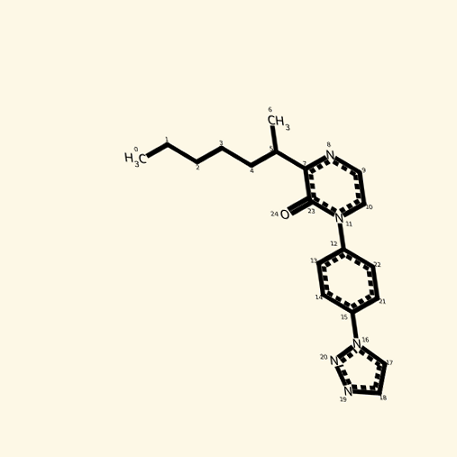 CCCCCC(C)c1nccn(-c2ccc(-n3ccnn3)cc2)c1=O